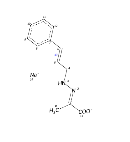 CC(=NNC/C=C/c1ccccc1)C(=O)[O-].[Na+]